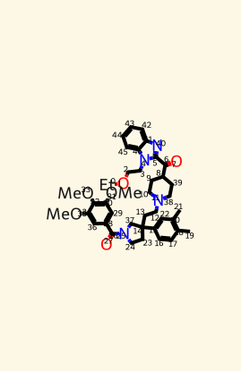 CCOCCn1c(C(=O)C2CCN(CCC3(c4ccc(C)c(C)c4)CCN(C(=O)c4cc(OC)c(OC)c(OC)c4)C3)CC2)nc2ccccc21